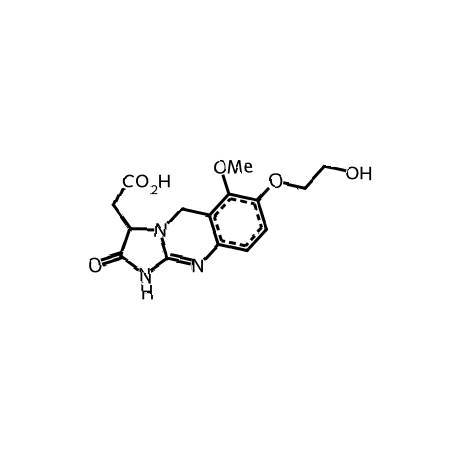 COc1c(OCCO)ccc2c1CN1C(=N2)NC(=O)C1CC(=O)O